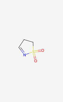 O=S1(=O)CCC=N1